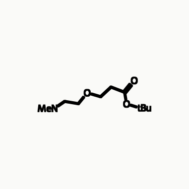 CNCCOCCC(=O)OC(C)(C)C